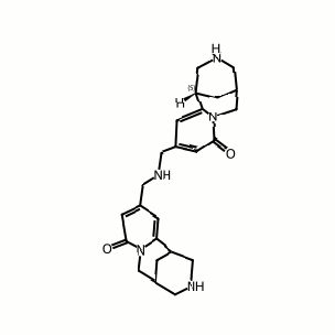 O=c1cc(CNCc2cc3n(c(=O)c2)CC2CNC[C@@H]3C2)cc2n1CC1CNCC2C1